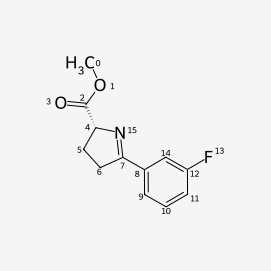 COC(=O)[C@H]1CCC(c2cccc(F)c2)=N1